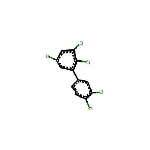 Clc1cc(Cl)c(Cl)c(-c2ccc(Cl)c(Cl)c2)c1